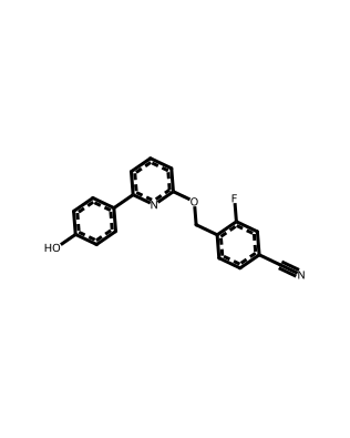 N#Cc1ccc(COc2cccc(-c3ccc(O)cc3)n2)c(F)c1